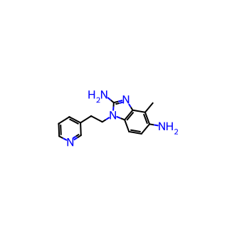 Cc1c(N)ccc2c1nc(N)n2CCc1cccnc1